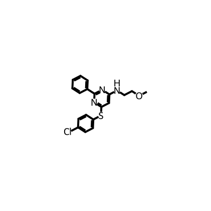 COCCNc1cc(Sc2ccc(Cl)cc2)nc(-c2ccccc2)n1